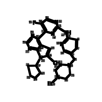 CCN1CCN(Cc2ccc(Nc3ncc(F)c(-c4ncnc5c4cc(C)n5C4CCCC4)n3)nc2)CC1